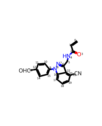 C=CC(=O)NCc1nn(-c2ccc(C=O)cc2)c2cccc(C#N)c12